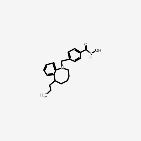 CCCC1CCCCN(Cc2ccc(C(=O)NO)cc2)c2ccccc21